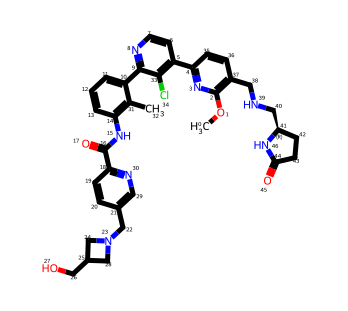 COc1nc(-c2ccnc(-c3cccc(NC(=O)c4ccc(CN5CC(CO)C5)cn4)c3C)c2Cl)ccc1CNC[C@H]1CCC(=O)N1